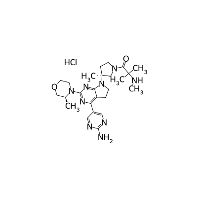 CNC(C)(C)C(=O)N1CC[C@](C)(N2CCc3c(-c4cnc(N)nc4)nc(N4CCOC[C@@H]4C)nc32)C1.Cl